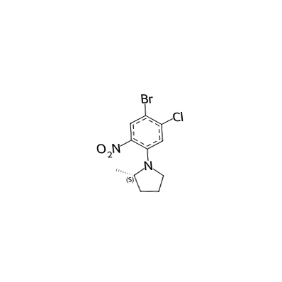 C[C@H]1CCCN1c1cc(Cl)c(Br)cc1[N+](=O)[O-]